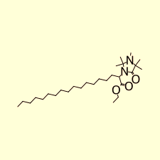 CCCCCCCCCCCCCCCCC(C(=O)OCC)N1C(=O)C(C)(C)N(C)C1(C)C